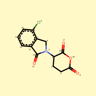 O=C1CCC(N2Cc3c(Cl)cccc3C2=O)C(=O)O1